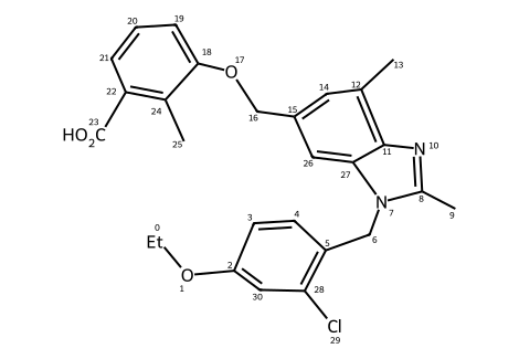 CCOc1ccc(Cn2c(C)nc3c(C)cc(COc4cccc(C(=O)O)c4C)cc32)c(Cl)c1